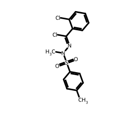 Cc1ccc(S(=O)(=O)N(C)N=C(Cl)c2ccccc2Cl)cc1